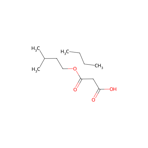 CC(C)CCOC(=O)CC(=O)O.CCCC